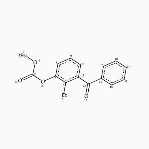 CCc1c(OC(=O)OC(C)(C)C)cccc1C(=O)c1ccccc1